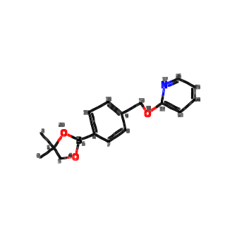 CC1(C)COB(c2ccc(COc3ccccn3)cc2)O1